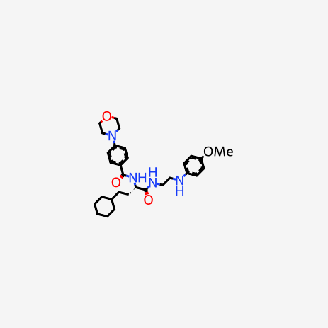 COc1ccc(NCCNC(=O)[C@H](CCC2CCCCC2)NC(=O)c2ccc(N3CCOCC3)cc2)cc1